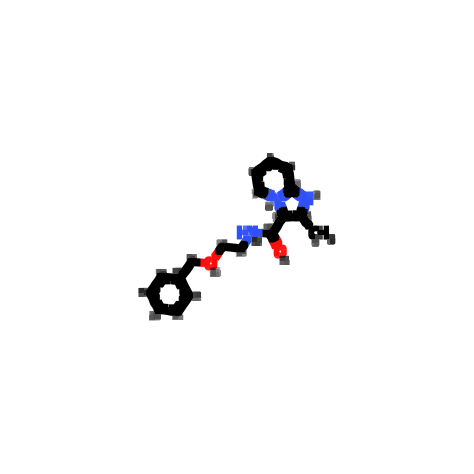 Cc1nc2ccccn2c1C(=O)NCCOCc1ccccc1